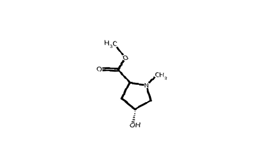 COC(=O)C1C[C@@H](O)CN1C